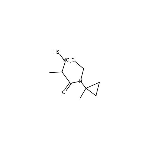 CC(CS)C(=O)N(CC(=O)O)C1(C)CC1